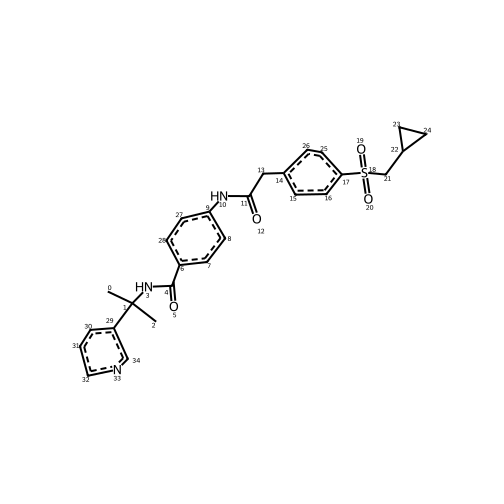 CC(C)(NC(=O)c1ccc(NC(=O)Cc2ccc(S(=O)(=O)CC3CC3)cc2)cc1)c1cccnc1